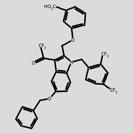 O=C(O)c1cccc(OCc2c(C(=O)C(F)(F)F)c3cc(OCc4ccccc4)ccc3n2Cc2ccc(C(F)(F)F)cc2C(F)(F)F)c1